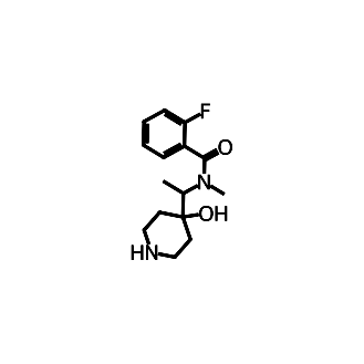 CC(N(C)C(=O)c1ccccc1F)C1(O)CCNCC1